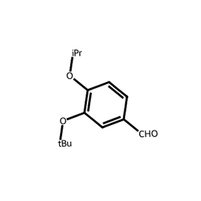 CC(C)Oc1ccc(C=O)cc1OC(C)(C)C